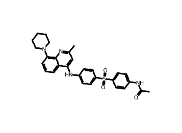 CC(=O)Nc1ccc(S(=O)(=O)c2ccc(Nc3cc(C)nc4c(N5CCCCC5)cccc34)cc2)cc1